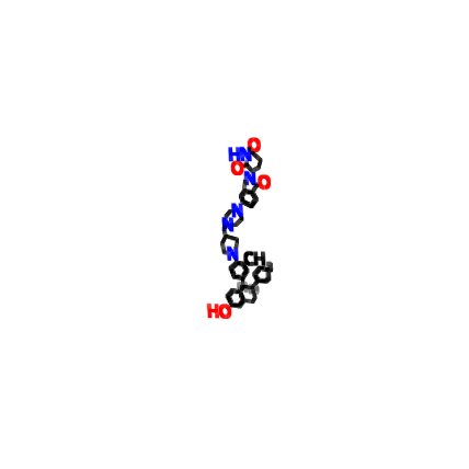 Cc1cc([C@@H]2c3ccc(O)cc3CC[C@@H]2c2ccccc2)ccc1N1CCC(CN2CCN(c3ccc4c(c3)CN(C3CCC(=O)NC3=O)C4=O)CC2)CC1